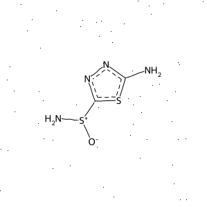 Nc1nnc([S+](N)[O-])s1